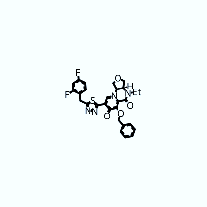 CCN1C(=O)c2c(OCc3ccccc3)c(=O)c(-c3nnc(Cc4ccc(F)cc4F)s3)cn2C2COC[C@@H]21